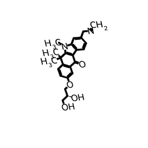 C=NCc1ccc2c3c(n(C)c2c1)C(C)(C)c1ccc(OC[C@H](O)CO)cc1C3=O